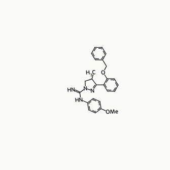 COc1ccc(NC(=N)N2CC(C)C(c3ccccc3OCc3ccccc3)=N2)cc1